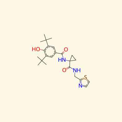 CC(C)(C)c1cc(C(=O)NC2(C(=O)NCc3nccs3)CC2)cc(C(C)(C)C)c1O